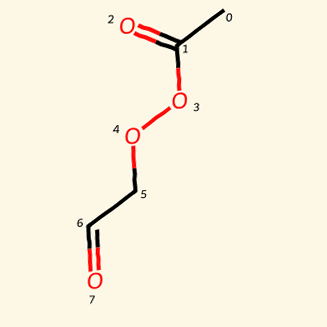 CC(=O)OOCC=O